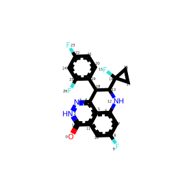 O=c1[nH]nc2c3c(cc(F)cc13)NC(C1(F)CC1)C2c1ccc(F)cc1F